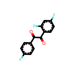 O=C(C(=O)c1ccc(F)cc1F)c1ccc(F)cc1